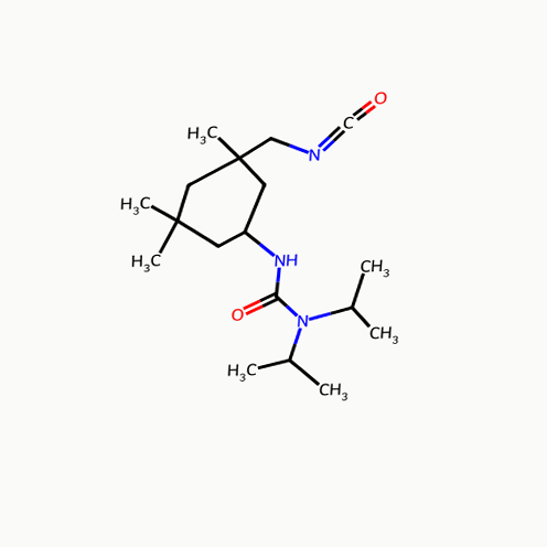 CC(C)N(C(=O)NC1CC(C)(C)CC(C)(CN=C=O)C1)C(C)C